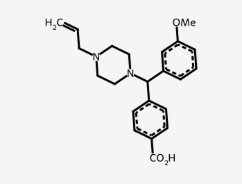 C=CCN1CCN(C(c2ccc(C(=O)O)cc2)c2cccc(OC)c2)CC1